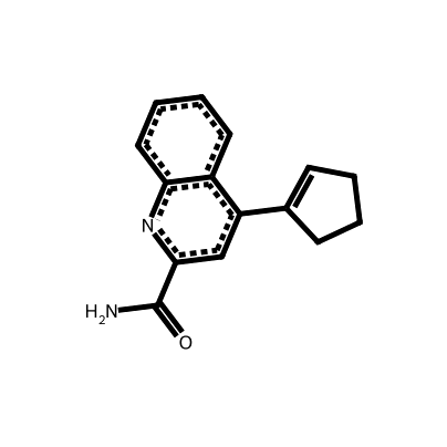 NC(=O)c1cc(C2=CCCC2)c2ccccc2n1